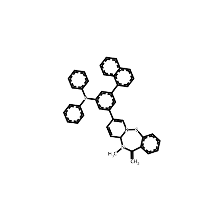 C=C1c2ccccc2SN2C=C(c3cc(-c4cccc5ccccc45)cc(P(c4ccccc4)c4ccccc4)c3)C=CC2N1C